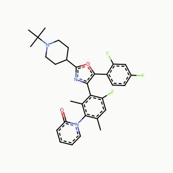 Cc1cc(F)c(-c2nc(C3CCN(C(C)(C)C)CC3)oc2-c2ccc(F)cc2F)c(C)c1-n1ccccc1=O